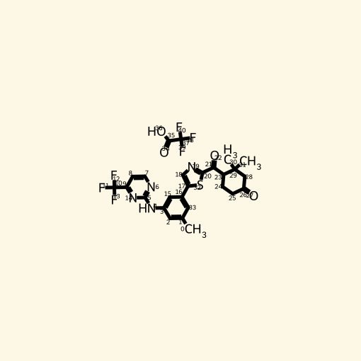 Cc1cc(Nc2nccc(C(F)(F)F)n2)cc(-c2cnc(C(=O)C3CCC(=O)CC3(C)C)s2)c1.O=C(O)C(F)(F)F